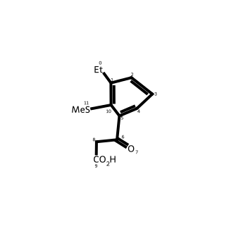 CCc1cccc(C(=O)CC(=O)O)c1SC